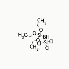 CCO[Si](B[Si](Cl)(Cl)Cl)(OCC)OCC